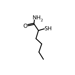 CCCCC(S)C(N)=O